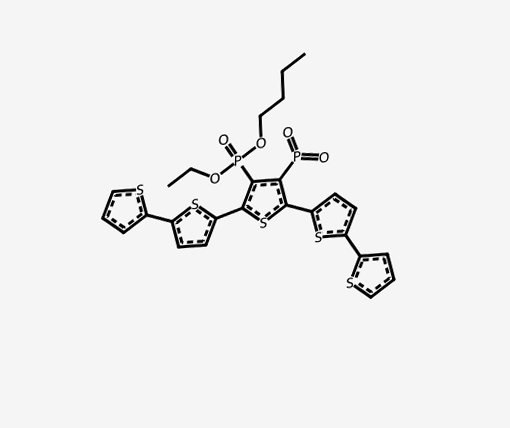 CCCCOP(=O)(OCC)c1c(-c2ccc(-c3cccs3)s2)sc(-c2ccc(-c3cccs3)s2)c1P(=O)=O